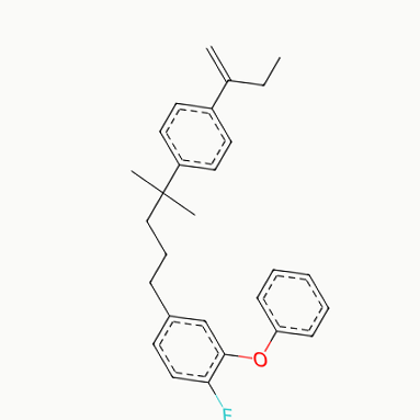 C=C(CC)c1ccc(C(C)(C)CCCc2ccc(F)c(Oc3ccccc3)c2)cc1